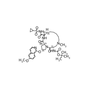 COc1ccc2c(O[C@@H]3C[C@H]4C(=O)N[C@]5(C(=O)NS(=O)(=O)C6CC6)C[C@H]5CCCCCN(C)C[C@H](NC(=O)OC(C)(C)C)C(=O)N4C3)nccc2c1